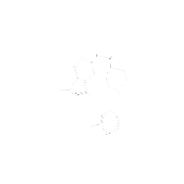 CCN1CCC(C(C)Nc2ccc3c(C)cn(C=O)c3c2)CC1.Fc1ccccc1